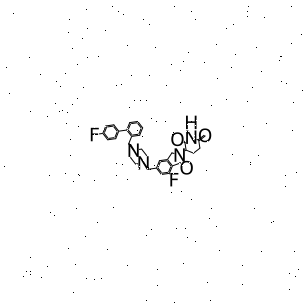 O=C1CCC(N2Cc3cc(CN4CCN(Cc5ccccc5-c5ccc(F)cc5)CC4)cc(F)c3C2=O)C(=O)N1